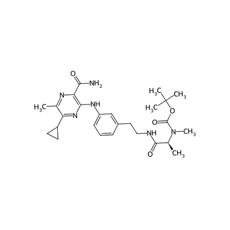 Cc1nc(C(N)=O)c(Nc2cccc(CCNC(=O)[C@H](C)N(C)C(=O)OC(C)(C)C)c2)nc1C1CC1